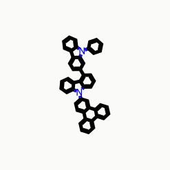 c1ccc(-n2c3ccccc3c3ccc(-c4cccc5c4c4ccccc4n5-c4ccc5c6ccccc6c6ccccc6c5c4)cc32)cc1